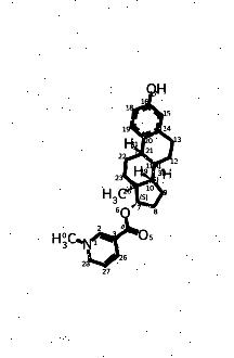 CN1C=C(C(=O)O[C@H]2CC[C@H]3[C@@H]4CCc5cc(O)ccc5[C@H]4CC[C@]23C)C=CC1